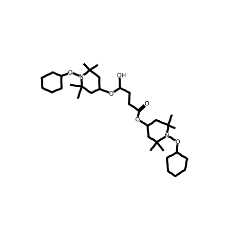 CC1(C)CC(OC(=O)CCC(O)OC2CC(C)(C)N(OC3CCCCC3)C(C)(C)C2)CC(C)(C)N1OC1CCCCC1